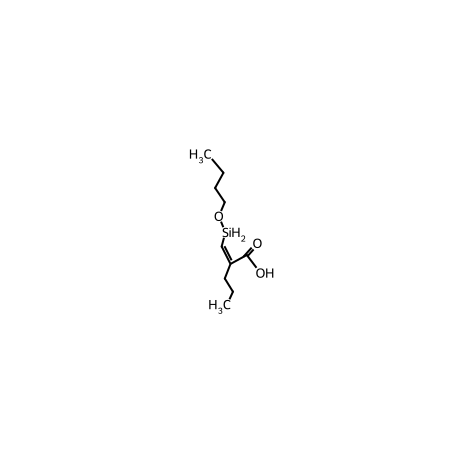 CCCCO[SiH2]C=C(CCC)C(=O)O